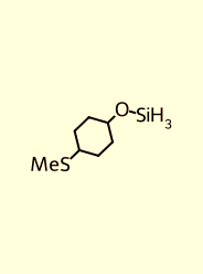 CSC1CCC(O[SiH3])CC1